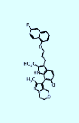 Cc1nn2c(c1-c1c(Cl)ccc3c(CCCOc4cccc5cc(F)ccc45)c(C(=O)O)[nH]c13)COCC2